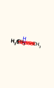 CCOCCOCCOCCOCCOCCOCCNC(=O)CCOCCOCCC(C)(C)C